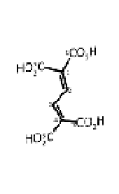 O=C(O)C(=CC=C(C(=O)O)C(=O)O)C(=O)O